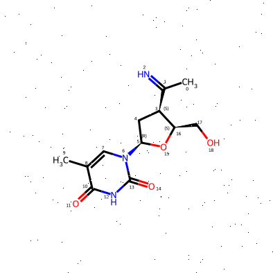 CC(=N)[C@@H]1C[C@H](n2cc(C)c(=O)[nH]c2=O)O[C@@H]1CO